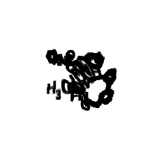 COC[C@@H]1NC(=O)CCc2cccc(c2)-c2cccc(c2)CC[C@@H](C(=O)N[C@@H](Cc2ccccc2)C(=O)C(=O)NCc2ccccc2)NC1=O